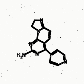 Nc1nc(-c2ccncc2)c2c(n1)N1CCN=C1C=C2